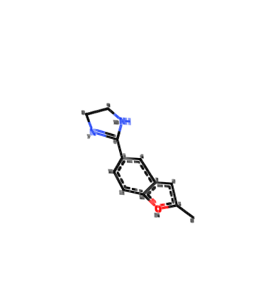 Cc1cc2cc(C3=NCCN3)ccc2o1